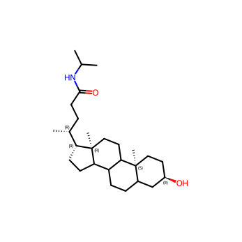 CC(C)NC(=O)CC[C@@H](C)[C@H]1CCC2C3CCC4C[C@H](O)CC[C@]4(C)C3CC[C@@]21C